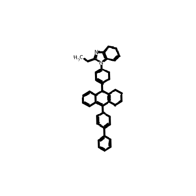 CCc1nc2c(n1C1=CC=C(C3C4=C(CCCC4)C(C4C=CC(c5ccccc5)=CC4)=C4C=CC=CC43)CC1)C=CCC2